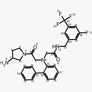 NC1CCN(C(=O)CN(CC(=O)NCc2cc(F)cc(C(F)(F)F)c2)c2ccccc2-c2ccccc2)C1